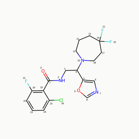 O=C(NCC(c1cnco1)N1CCCC(F)(F)CC1)c1c(F)cccc1Cl